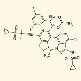 CC(C)(C)C(c1cc(F)cc(F)c1)[C@H](OC(N)=O)c1nc(C#CC(C)(C)S(=O)(=O)C2CC2)c2c(c1-c1ccc(Cl)c3c(NS(=O)(=O)C4CC4)nn(CC(F)(F)F)c13)CCC2